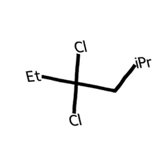 CCC(Cl)(Cl)CC(C)C